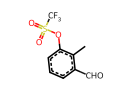 Cc1c(C=O)cccc1OS(=O)(=O)C(F)(F)F